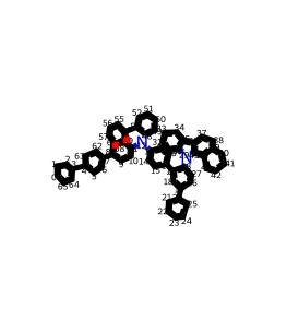 c1ccc(-c2ccc(-c3ccc(N(c4ccc(-c5cc(-c6ccccc6)ccc5-n5c6ccccc6c6ccc7ccccc7c65)cc4)c4ccccc4-c4ccccc4)cc3)cc2)cc1